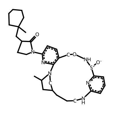 CC1CC2CCCNc3cccc(n3)[S+]([O-])NOCc3ccc(N4CCC(CC5(C)CCCCC5)C4=O)nc3N1C2